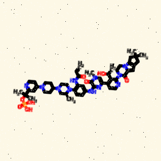 C=CC(=O)Nc1cc(Nc2nc(-c3ccnc(N4CCn5c(cc6c5CC(C)(C)C6)C4=O)c3C(C)O)cn(C)c2=O)ccc1N1CCN(C2CCN(c3ccnc(C(C)(C)OP(=O)(O)O)c3)CC2)C[C@@H]1C